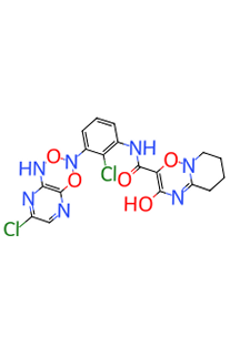 O=C(Nc1cccc(-n2o[nH]c3nc(Cl)cnc3o2)c1Cl)C1=C(O)N=C2CCCCN2O1